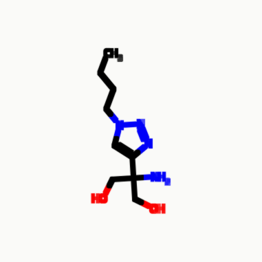 CCCCn1cc(C(N)(CO)CO)nn1